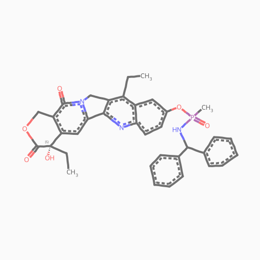 CCc1c2c(nc3ccc(OP(C)(=O)NC(c4ccccc4)c4ccccc4)cc13)-c1cc3c(c(=O)n1C2)COC(=O)[C@]3(O)CC